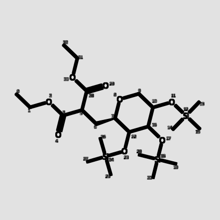 CCOC(=O)C(C[C@H]1OCC(O[Si](C)(C)C)C(O[Si](C)(C)C)C1O[Si](C)(C)C)C(=O)OCC